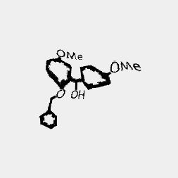 COc1ccc(C(O)c2cc(OC)ccc2OCc2ccccc2)cc1